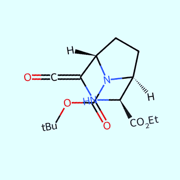 CCOC(=O)[C@H]1NC(=C=O)[C@@H]2CC[C@@H]1N2C(=O)OC(C)(C)C